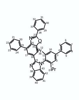 CC(C)c1cc(-c2ccccc2)cc(C(C)C)c1-n1c(-c2cc(-c3ccccc3)c3nc(-c4ccccc4)oc3c2)nc2ccccc21